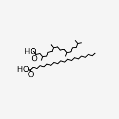 CC(C)CCCC(C)CCCC(C)CCCC(C)CC(=O)O.CCCCCCCCCCCCCCCCCCCC(=O)O